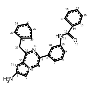 Nc1cn2cc(-c3cccc(NC(=O)c4ccccc4)c3)nc(Cc3ccccc3)c2n1